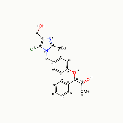 CCCCc1nc(CO)c(Cl)n1Cc1ccc(OC(C(=O)OC)c2ccccc2)cc1